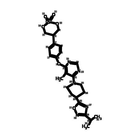 Cc1c(Oc2ccc(C3COS(=O)(=O)OC3)cc2)ncnc1N1CCC(c2nc(C(C)C)no2)CC1